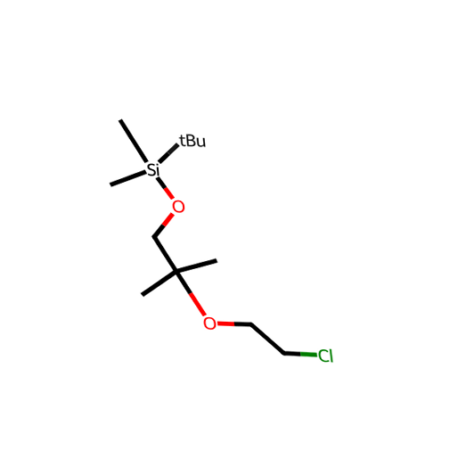 CC(C)(CO[Si](C)(C)C(C)(C)C)OCCCl